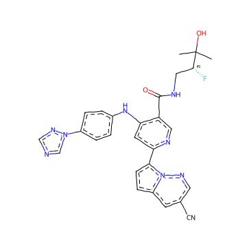 CC(C)(O)[C@H](F)CNC(=O)c1cnc(-c2ccc3cc(C#N)cnn23)cc1Nc1ccc(-n2cncn2)cc1